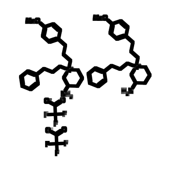 COc1ccc(CCC[N+]2(CCCc3ccccc3)CCCC(N)C2)cc1.COc1ccc(CCC[N+]2(CCCc3ccccc3)CCCC(N)C2)cc1.O=C([O-])C(F)(F)F.O=C([O-])C(F)(F)F